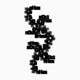 CCCCCCCCC(CCCCCC)CN1C(=O)C2=C(c3ccc(-c4cc5ccc6cc(-c7ccc(C8=C9C(=O)N(CC(CCCCCC)CCCCCCCC)C(c%10ccc(-c%11ccc(-c%12ccc(CCCCCC)s%12)s%11)o%10)=C9C(=O)N8CC(CCCCCC)CCCCCCCC)o7)sc6c5s4)o3)N(CC(CCCCCC)CCCCCCCC)C(=O)C2=C1c1ccc(-c2ccc(-c3ccc(CCCCCC)s3)s2)o1